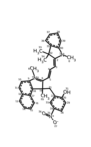 CN1/C(=C/C=C/C2=[N+](C)c3ccc4ccccc4c3C2(C)Cc2cc([N+](=O)[O-])ccc2O)C(C)(C)c2ccccc21